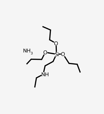 CCCO[Si](CCNCC)(OCCC)OCCC.N